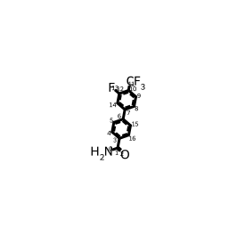 NC(=O)c1ccc(-c2ccc(C(F)(F)F)c(F)c2)cc1